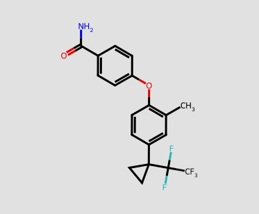 Cc1cc(C2(C(F)(F)C(F)(F)F)CC2)ccc1Oc1ccc(C(N)=O)cc1